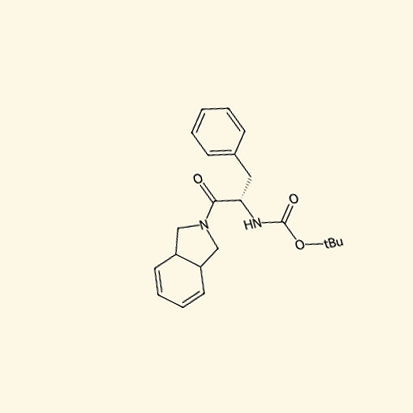 CC(C)(C)OC(=O)N[C@@H](Cc1ccccc1)C(=O)N1CC2C=CC=CC2C1